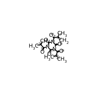 C=C(C)C(=O)n1c(=O)n(C(=O)C(=C)C)c(=O)n(C(=O)C(C)C)c1=O